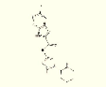 O=C(Nc1cc([C@H]2CCCCN2)[nH]n1)c1cc2cc(F)ccc2[nH]1